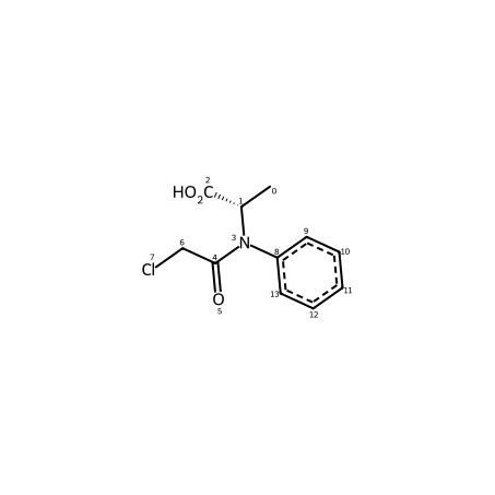 C[C@@H](C(=O)O)N(C(=O)CCl)c1ccccc1